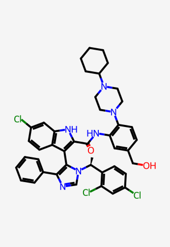 C[C@@H](c1ccc(Cl)cc1Cl)n1cnc(-c2ccccc2)c1-c1c(C(=O)Nc2cc(CO)ccc2N2CCN(C3CCCCC3)CC2)[nH]c2cc(Cl)ccc12